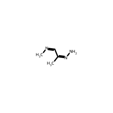 C/N=C\C(C)=N/N